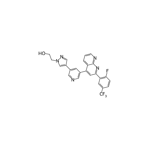 OCCn1cc(-c2cncc(-c3cc(-c4cc(C(F)(F)F)ccc4F)nc4ncccc34)c2)cn1